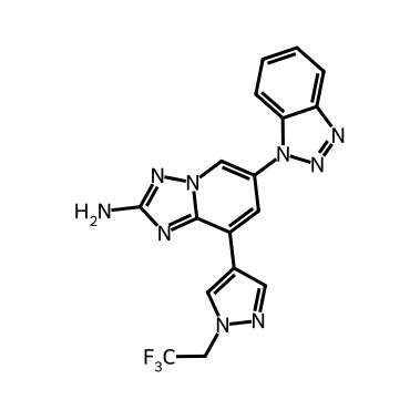 Nc1nc2c(-c3cnn(CC(F)(F)F)c3)cc(-n3nnc4ccccc43)cn2n1